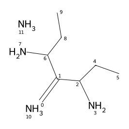 C=C(C(N)CC)C(N)CC.N.N